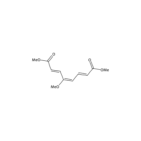 COC(=O)/C=C/C=C(\C=C\C(=O)OC)OC